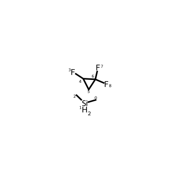 C[SiH2]C.FC1CC1(F)F